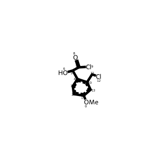 COc1ccc(C(O)C(=O)Cl)c(CCl)c1